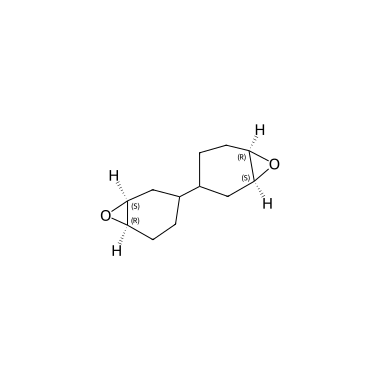 C1C[C@H]2O[C@H]2CC1C1CC[C@H]2O[C@H]2C1